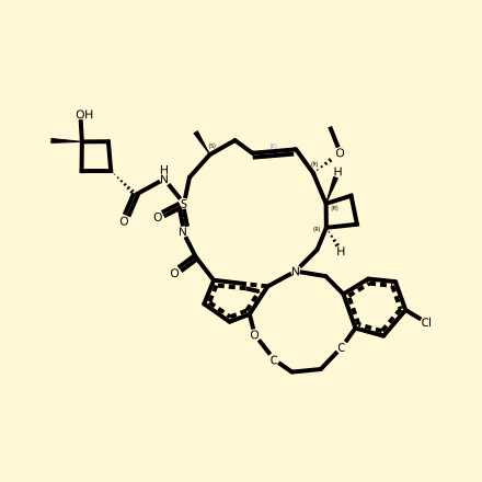 CO[C@H]1/C=C/C[C@H](C)CS(=O)(NC(=O)[C@H]2C[C@@](C)(O)C2)=NC(=O)c2ccc3c(c2)N(Cc2ccc(Cl)cc2CCCCO3)C[C@@H]2CC[C@H]21